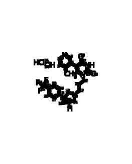 Cc1ccncc1-c1cn(CCCN2C[C@@H]3C[C@]3(c3ccc(C(F)(F)F)cc3)C2)c(=O)[nH]c1=O.Cl.Cl